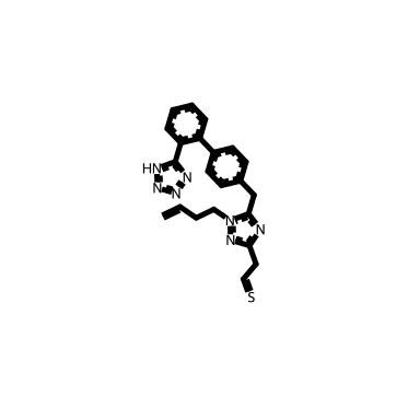 C=CCCn1nc(CC=S)nc1Cc1ccc(-c2ccccc2-c2nnn[nH]2)cc1